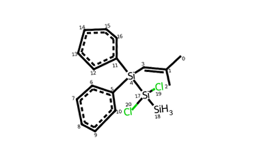 CC(C)=C[Si](c1ccccc1)(c1ccccc1)[Si]([SiH3])(Cl)Cl